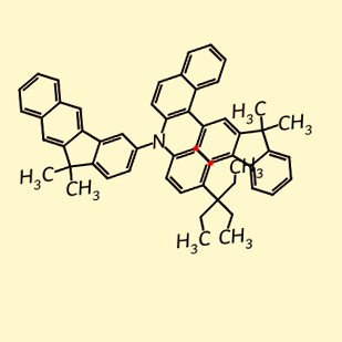 CCC(CC)(CC)c1ccc(N(c2ccc3c(c2)-c2cc4ccccc4cc2C3(C)C)c2ccc3ccccc3c2-c2ccc3c(c2)C(C)(C)c2ccccc2-3)cc1